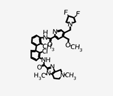 COCc1cc(C(=O)Nc2cccc(-c3cccc(NC(=O)c4nc5c(n4C)CCN(C)C5)c3Cl)c2C)ncc1CN1C[C@H](F)[C@@H](F)C1